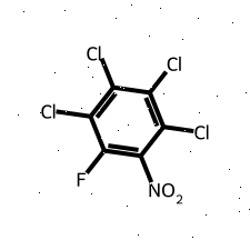 O=[N+]([O-])c1c(F)c(Cl)c(Cl)c(Cl)c1Cl